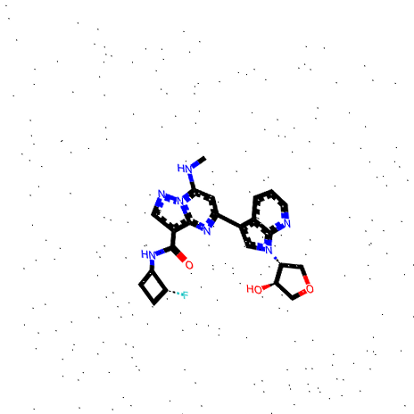 CNc1cc(-c2cn([C@@H]3COC[C@H]3O)c3ncccc23)nc2c(C(=O)NC3CC[C@H]3F)cnn12